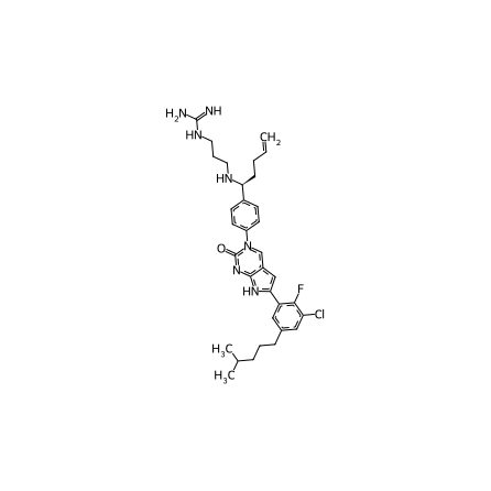 C=CCC[C@H](NCCCNC(=N)N)c1ccc(-n2cc3cc(-c4cc(CCCC(C)C)cc(Cl)c4F)[nH]c3nc2=O)cc1